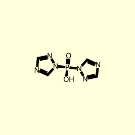 O=P(O)(n1cncn1)n1cncn1